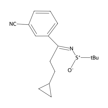 CC(C)(C)[S+]([O-])/N=C(\CCC1CC1)c1cccc(C#N)c1